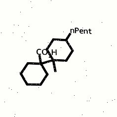 CCCCCC1CCC(C)(C2(C(=O)O)CCCCC2)CC1